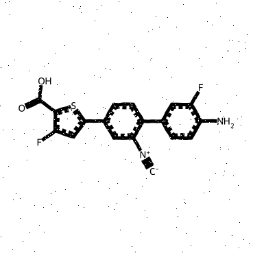 [C-]#[N+]c1cc(-c2cc(F)c(C(=O)O)s2)ccc1-c1ccc(N)c(F)c1